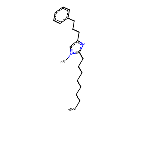 CCCCCCCCCCCCCCCCCc1nc(CCCc2ccccc2)cn1CCC